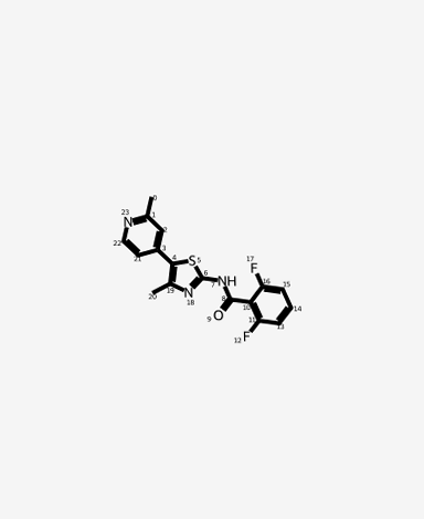 Cc1cc(-c2sc(NC(=O)c3c(F)cccc3F)nc2C)ccn1